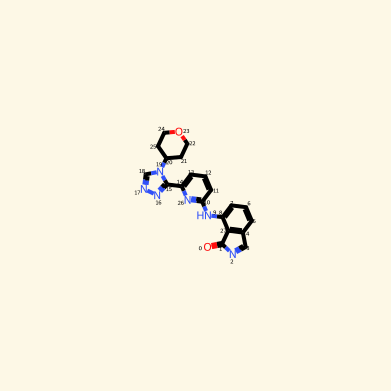 O=C1N=Cc2cccc(Nc3cccc(-c4nncn4C4CCOCC4)n3)c21